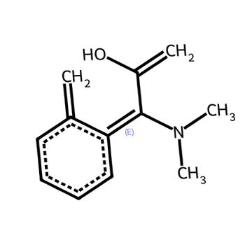 C=C(O)/C(=c1/ccccc1=C)N(C)C